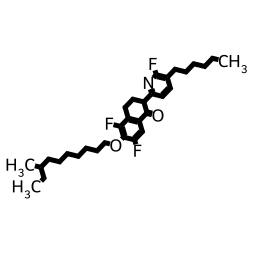 CCCCCCc1ccc(C2CCc3c(cc(F)c(OCCCCCCCC(C)CC)c3F)C2=O)nc1F